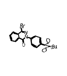 CC(C)(C)S(=O)(=O)c1ccc(-n2nc(Br)c3ccccc3c2=O)cc1